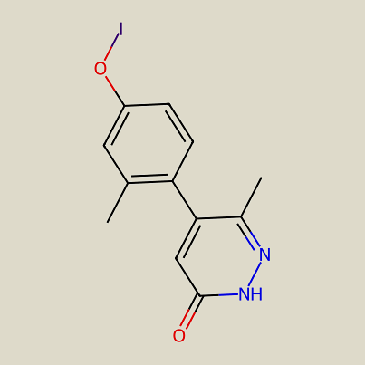 Cc1cc(OI)ccc1-c1cc(=O)[nH]nc1C